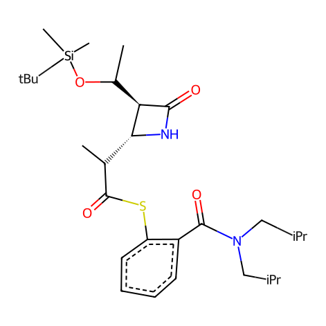 CC(C)CN(CC(C)C)C(=O)c1ccccc1SC(=O)C(C)[C@H]1NC(=O)[C@@H]1C(C)O[Si](C)(C)C(C)(C)C